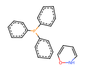 C1=CNOC=C1.c1ccc(P(c2ccccc2)c2ccccc2)cc1